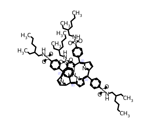 CCCCC(CC)CNS(=O)(=O)c1ccc(/C2=C3\C=CC(=N3)/C(c3ccc(S(=O)(=O)NCC(CC)CCCC)cc3)=c3/cc/c4n3Nn3c2ccc3/C(c2ccc(S(=O)(=O)NCC(CC)CCCC)cc2)=C2/C=CC(=N2)/C=4c2ccc(S(=O)(=O)NCC(CC)CCCC)cc2)cc1